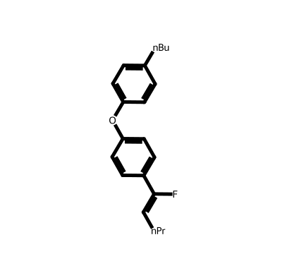 CCCC=C(F)c1ccc(Oc2ccc(CCCC)cc2)cc1